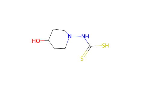 OC1CCN(NC(=S)S)CC1